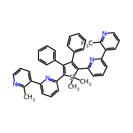 Cc1ncccc1-c1cccc(C2=C(c3ccccc3)C(c3ccccc3)=C(c3cccc(-c4cccnc4C)n3)[Si]2(C)C)n1